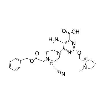 CN1CCC[C@H]1COc1nc(C(=O)O)c(N)c(N2CCN(CC(=O)OCc3ccccc3)[C@@H](CC#N)C2)n1